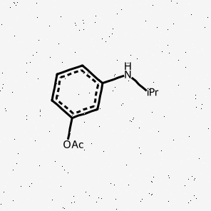 CC(=O)Oc1cccc(NC(C)C)c1